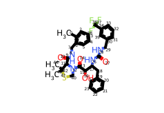 Cc1ccccc1CNC(=O)C1N(C(=O)C(O)C(Cc2ccccc2)NC(=O)NCc2cccc(C(F)(F)F)c2)CSC1(C)C